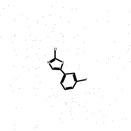 Fc1cccc(-c2cnc(Cl)s2)c1